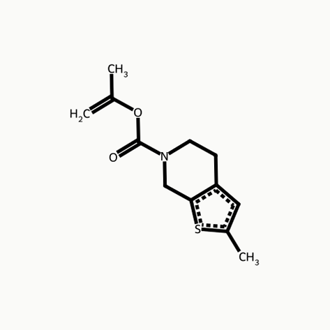 C=C(C)OC(=O)N1CCc2cc(C)sc2C1